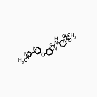 Cn1cc(-c2cc(Oc3ccc4nc(NC5CCCN(S(C)(=O)=O)C5)sc4c3)ccn2)cn1